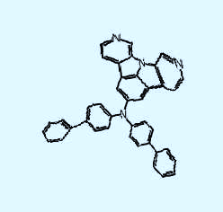 c1ccc(-c2ccc(N(c3ccc(-c4ccccc4)cc3)c3cc4c5ccncc5n5c6cnccc6c(c3)c45)cc2)cc1